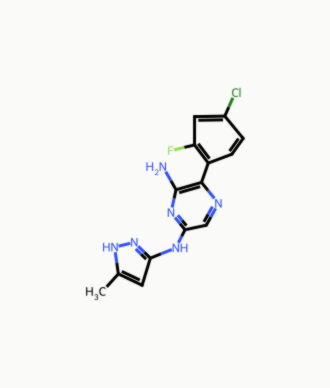 Cc1cc(Nc2cnc(-c3ccc(Cl)cc3F)c(N)n2)n[nH]1